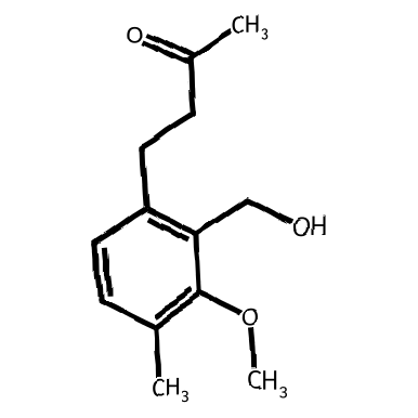 COc1c(C)ccc(CCC(C)=O)c1CO